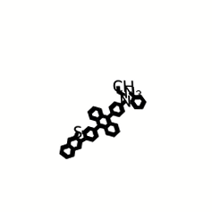 CCc1nc2ccccc2n1-c1ccc(-c2c3ccccc3c(-c3ccc4c(c3)sc3cc5ccccc5cc34)c3ccccc23)cc1